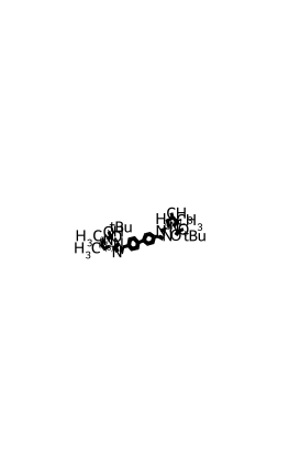 CC1C[C@@H](c2ncc(-c3ccc(-c4ccc(-c5cnc([C@@H]6C[C@@H](C)[C@@H](C)N6C(=O)OC(C)(C)C)[nH]5)cc4)cc3)[nH]2)N(C(=O)OC(C)(C)C)[C@@H]1C